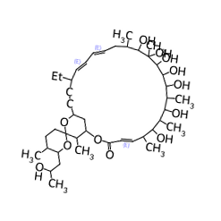 CCC1/C=C/C=C/CC(C)C(O)C(C)(O)C(O)C(O)C(O)C(C)C(O)C(C)C(O)C(C)/C=C/C(=O)OC2CC(CC1)OC1(CCC(C)C(CC(C)O)O1)C2C